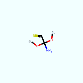 CCOC(N)(C=S)OCC